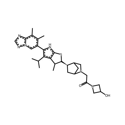 Cc1c(-c2[nH]c3c(c2C(C)C)C(C)C([C@@H]2CC4CC2CN4CC(=O)N2CC(O)C2)S3)cn2ncnc2c1C